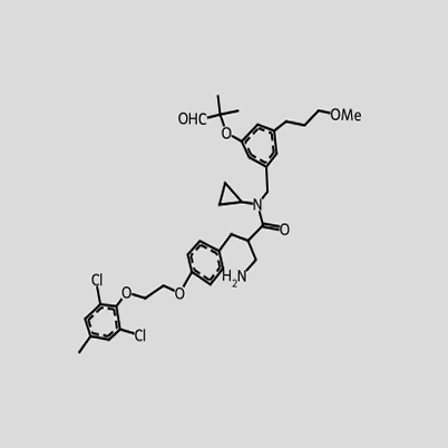 COCCCc1cc(CN(C(=O)C(CN)Cc2ccc(OCCOc3c(Cl)cc(C)cc3Cl)cc2)C2CC2)cc(OC(C)(C)C=O)c1